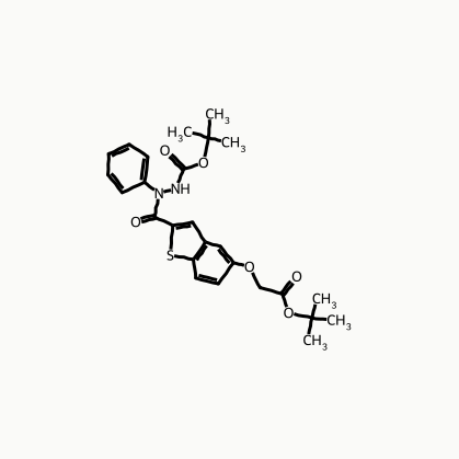 CC(C)(C)OC(=O)COc1ccc2sc(C(=O)N(NC(=O)OC(C)(C)C)c3ccccc3)cc2c1